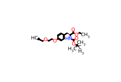 C#CCOCCOc1ccc(C[C@H](NC(=O)OC(C)(C)C)C(=O)OCC)cc1